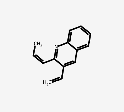 C=Cc1cc2ccccc2nc1/C=C\C